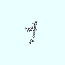 CN(C)CCOC(=O)CCN1CCC(N2CCN(C(=O)C(Cc3cc(Cl)c(N)c(C(F)(F)F)c3)OC(=O)N3CCC(N4CCc5ccccc5NC4=O)CC3)CC2)CC1